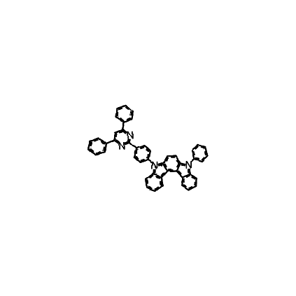 c1ccc(-c2cc(-c3ccccc3)nc(-c3ccc(-n4c5ccccc5c5c6c7ccccc7n(-c7ccccc7)c6ccc54)cc3)n2)cc1